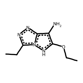 CCOc1[nH]n2c(CC)nnc2c1N